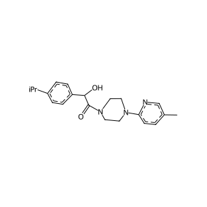 Cc1ccc(N2CCN(C(=O)C(O)c3ccc(C(C)C)cc3)CC2)nc1